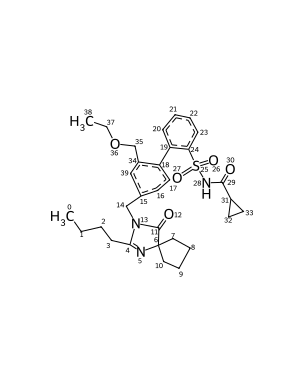 CCCCC1=NC2(CCCC2)C(=O)N1Cc1ccc(-c2ccccc2S(=O)(=O)NC(=O)C2CC2)c(COCC)c1